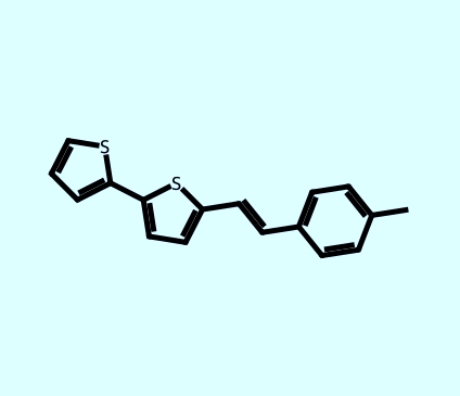 Cc1ccc(/C=C/c2ccc(-c3cccs3)s2)cc1